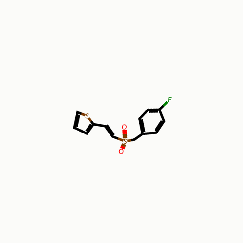 O=S(=O)(C=Cc1cccs1)Cc1ccc(F)cc1